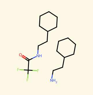 NCCC1CCCCC1.O=C(NCCC1CCCCC1)C(F)(F)F